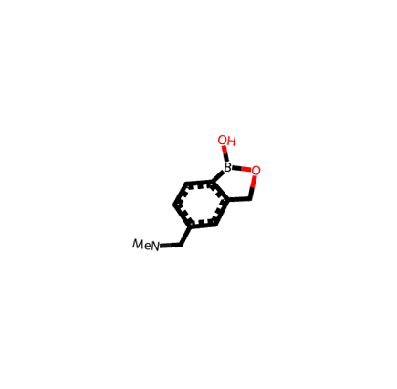 CNCc1ccc2c(c1)COB2O